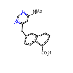 CNc1cc(Cc2ccc3c(C(=O)O)cccc3c2)ncn1